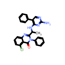 CC(Nc1nc(N)ncc1-c1ccccc1)c1nc2cccc(Cl)c2c(=O)n1-c1ccccc1